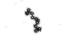 c1cc(-c2cccc(-n3c4ccccc4c4ncccc43)c2)cc(-c2ccc3oc4ccc(-c5cccc(-n6c7ccccc7c7ncccc76)c5)cc4c3c2)c1